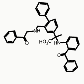 CC(Nc1ccccc1C(=O)c1ccccc1)(C(=O)O)c1ccc(-c2ccccc2)c(CNCC(=O)c2ccccc2)c1